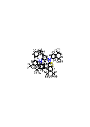 CC(C)(C)c1cc(-c2ccccc2)c2c(c1)-c1ccc(cc1)C(C)(C)c1cc3c4c(c1)N2c1cc(C(C)(C)C)ccc1B4c1c(sc2cc4c(cc12)C(C)(C)CCC4(C)C)N3c1ccc2c(c1)C(C)(C)CCC2(C)C